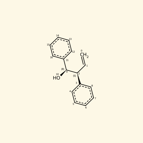 C=C[C@@H](c1ccccc1)[C@@H](O)c1ccccc1